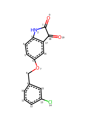 O=C1Nc2ccc(OCc3cccc(Cl)c3)cc2C1=O